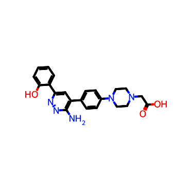 Nc1nnc(-c2ccccc2O)cc1-c1ccc(N2CCN(CC(=O)O)CC2)cc1